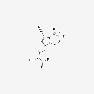 CC(C(F)F)C(F)Cn1nc(C#N)c2c1CCC(F)(F)[C@H]2O